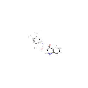 CC(C)(C)c1cc(C(C)(C)C)c(C(F)F)cc1NC(=O)c1c[nH]c2ccccc2c1=O